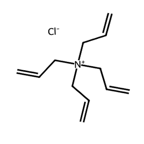 C=CC[N+](CC=C)(CC=C)CC=C.[Cl-]